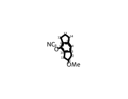 COC1Cc2cc3c(c(OC#N)c2C1)CCC3